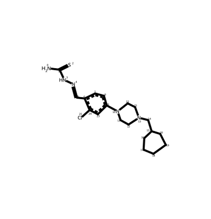 NC(=S)NN=Cc1ccc(N2CCN(CC3CCCCC3)CC2)cc1Cl